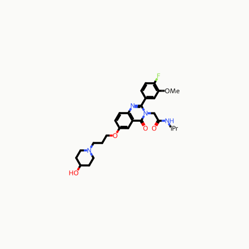 COc1cc(-c2nc3ccc(OCCCN4CCC(O)CC4)cc3c(=O)n2CC(=O)NC(C)C)ccc1F